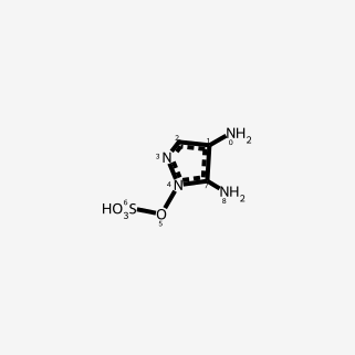 Nc1cnn(OS(=O)(=O)O)c1N